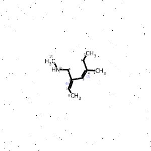 C/C=C(\C=C(\C)CC)CNC